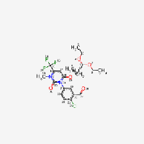 C=C.CCOC(C)OCC.Cn1c(C(F)(F)F)cc(=O)n(-c2ccc(Cl)c(C=O)c2)c1=O